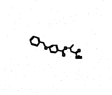 CCCCC(=O)CC(C)OC(=O)c1ccc(OCc2ccccc2)cc1